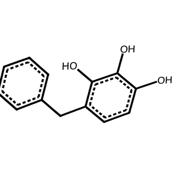 Oc1ccc(Cc2ccccc2)c(O)c1O